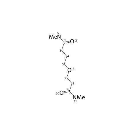 CNC(=O)CCCOCCC(=O)NC